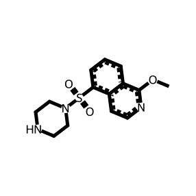 COc1nccc2c(S(=O)(=O)N3CCNCC3)cccc12